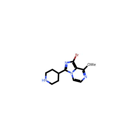 COc1nccn2c(C3CCNCC3)nc(Br)c12